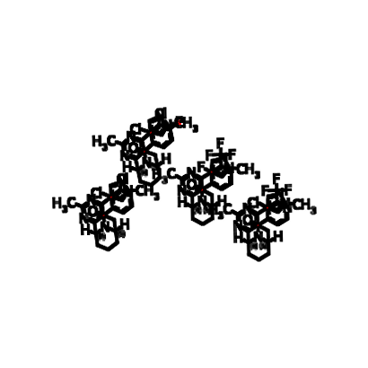 Cc1nc(-c2cnn(C)c2)c2c(n1)[C@H]1CCC[C@@H](C2)N1C(=O)c1ccc(F)c(Cl)c1Cl.Cc1nc(-c2cnn(C)c2)c2c(n1)[C@H]1CCC[C@@H](C2)N1C(=O)c1cccc(C(F)(F)F)c1F.Cc1nc(-c2cnn(C)c2)c2c(n1)[C@H]1CCC[C@@H](C2)N1C(=O)c1cccc(Cl)c1Cl.Cc1nc(-c2cnn(C)c2)c2c(n1)[C@H]1CCC[C@@H](C2)N1C(=O)c1ccnc(C(F)(F)F)c1Cl